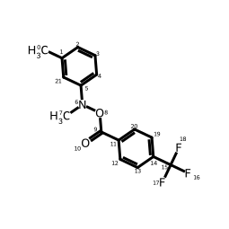 Cc1cccc(N(C)OC(=O)c2ccc(C(F)(F)F)cc2)c1